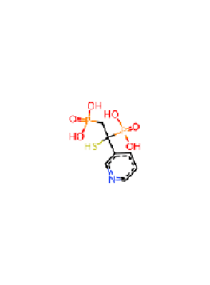 O=P(O)(O)CC(S)(c1cccnc1)P(=O)(O)O